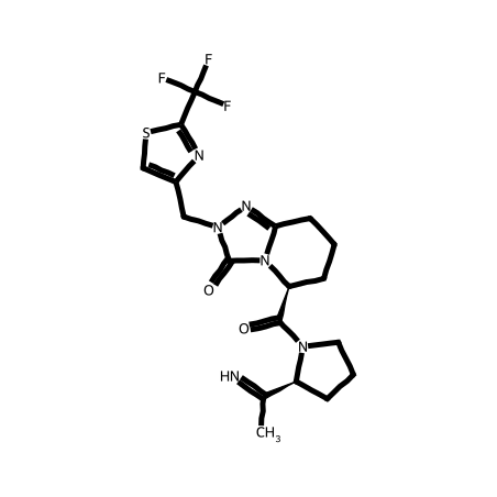 CC(=N)[C@@H]1CCCN1C(=O)[C@@H]1CCCc2nn(Cc3csc(C(F)(F)F)n3)c(=O)n21